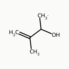 [CH2]C(O)C(=C)C